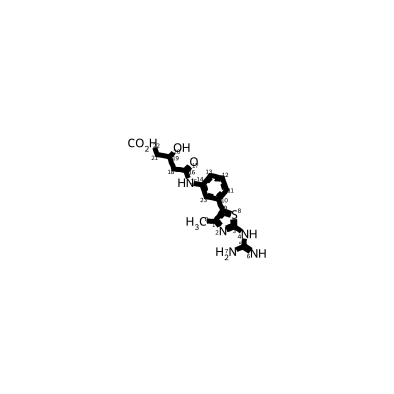 Cc1nc(NC(=N)N)sc1-c1cccc(NC(=O)CC(O)CC(=O)O)c1